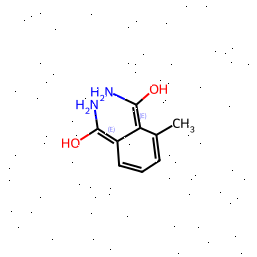 Cc1cccc(=C(/N)O)/c1=C(\N)O